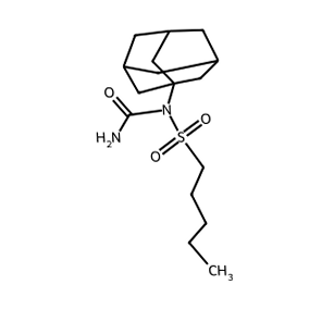 CCCCCS(=O)(=O)N(C(N)=O)C12CC3CC(CC(C3)C1)C2